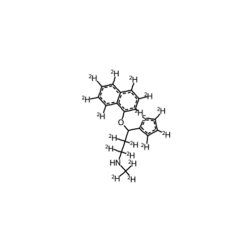 [2H]c1sc(C(Oc2c([2H])c([2H])c([2H])c3c([2H])c([2H])c([2H])c([2H])c23)C([2H])([2H])C([2H])([2H])NC([2H])([2H])[2H])c([2H])c1[2H]